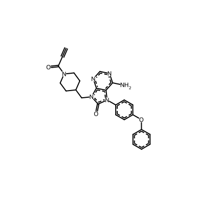 C#CC(=O)N1CCC(Cn2c(=O)n(-c3ccc(Oc4ccccc4)cc3)c3c(N)ncnc32)CC1